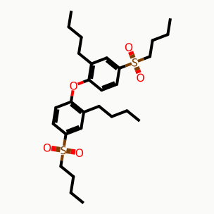 CCCCc1cc(S(=O)(=O)CCCC)ccc1Oc1ccc(S(=O)(=O)CCCC)cc1CCCC